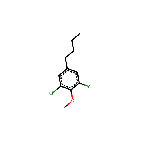 CCCCc1cc(Cl)c(OC)c(Cl)c1